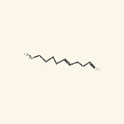 C=CCC/C=C/CCCCNC